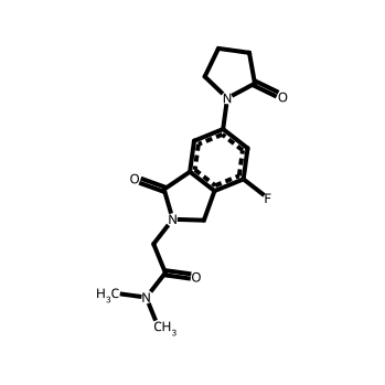 CN(C)C(=O)CN1Cc2c(F)cc(N3CCCC3=O)cc2C1=O